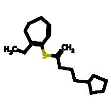 C=C(CCCC1CCCC1)SC1=C(CC)CCCC=C1